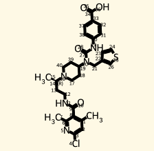 Cc1cc(Cl)nc(C)c1C(=O)NCC[C@@H](C)N1CCC(N(Cc2ccsc2)C(=O)Nc2ccc(C(=O)O)cc2)CC1